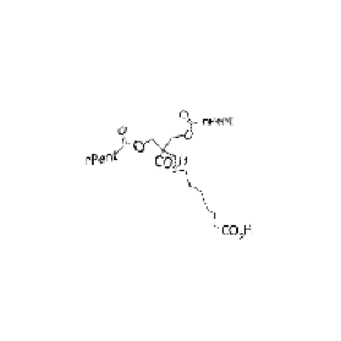 CCCCCC(=O)OCC(CCCCCCCCC(=O)O)(COC(=O)CCCCC)C(=O)O